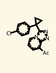 CC(=O)c1cccn2c(C3(c4ccc(Cl)cc4)CC3)nnc12